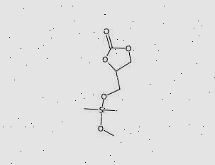 CO[Si](C)(C)OCC1COC(=O)O1